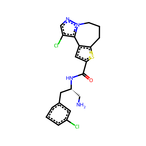 NC[C@H](Cc1cccc(Cl)c1)NC(=O)c1cc2c(s1)CCCn1ncc(Cl)c1-2